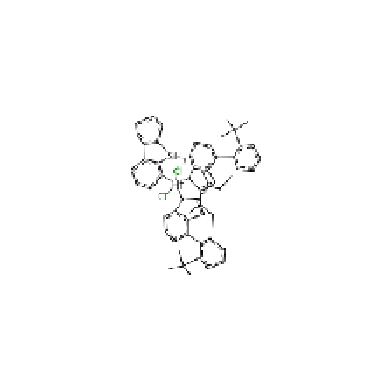 CCC(C)C1=Cc2c(-c3ccccc3C(C)(C)C)cccc2[CH]1[Hf]([Cl])([Cl])([c]1cccc2c1[SiH2]c1ccccc1-2)[CH]1C(C(C)CC)=Cc2c(-c3ccccc3C(C)(C)C)cccc21